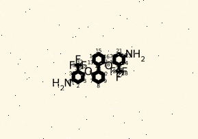 Nc1ccc(Oc2ccccc2-c2ccccc2Oc2ccc(N)cc2C(F)(F)F)c(C(F)(F)F)c1